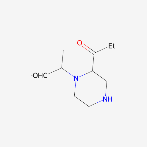 CCC(=O)C1CNCCN1C(C)[C]=O